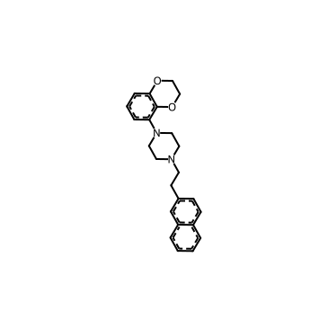 c1cc2c(c(N3CCN(CCc4ccc5ccccc5c4)CC3)c1)OCCO2